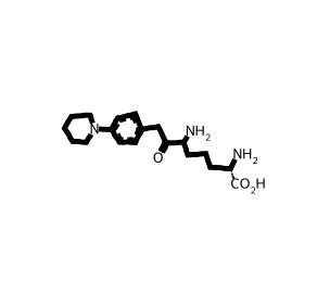 NC(CCC[C@H](N)C(=O)O)C(=O)Cc1ccc(N2CCCCC2)cc1